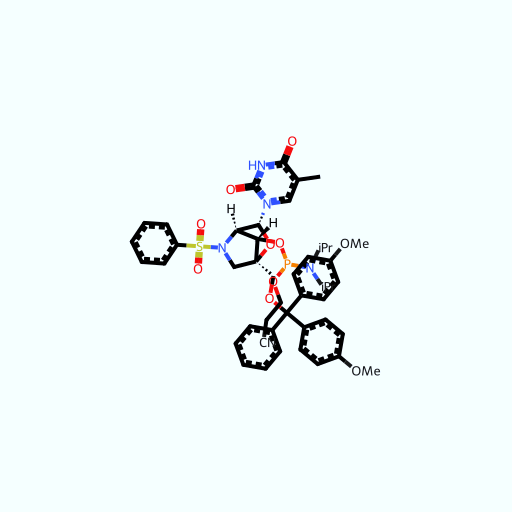 COc1ccc(C(OC[C@@]23CN(S(=O)(=O)c4ccccc4)[C@@H]([C@H](n4cc(C)c(=O)[nH]c4=O)O2)[C@@H]3OP(OCCC#N)N(C(C)C)C(C)C)(c2ccccc2)c2ccc(OC)cc2)cc1